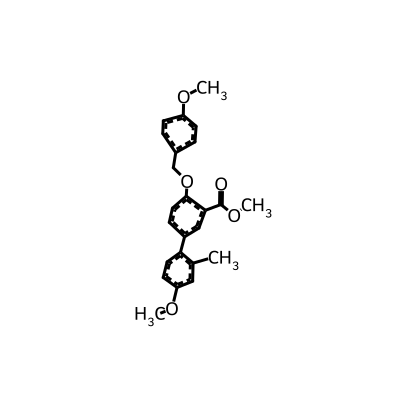 COC(=O)c1cc(-c2ccc(OC)cc2C)ccc1OCc1ccc(OC)cc1